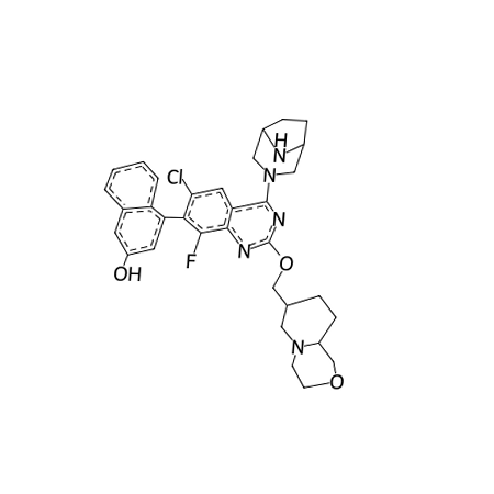 Oc1cc(-c2c(Cl)cc3c(N4CC5CCC(C4)N5)nc(OCC4CCC5COCCN5C4)nc3c2F)c2ccccc2c1